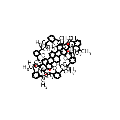 Cc1cc(Oc2c(C(C)C)cccc2C(C)C)c2c3ccc4c5c(Oc6c(C(C)C)cccc6C(C)C)cc6c7c(cc(Oc8c(C(C)C)cccc8C(C)C)c(c8ccc(c9c(Oc%10c(C(C)C)cccc%10C(C)C)cc(C(=O)Nc%10c(C(C)C)cccc%10C(C)C)c1c29)c3c48)c75)C(=O)N(c1c(C(C)C)cccc1C(C)C)C6=O